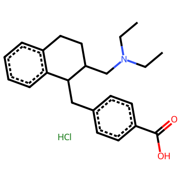 CCN(CC)CC1CCc2ccccc2C1Cc1ccc(C(=O)O)cc1.Cl